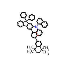 CC1(C)CCC(C)(C)c2cc(-c3ccc(-c4cc5c(cc4N(c4ccccc4)c4cccc6ccccc46)C(c4ccccc4)(c4ccccc4)c4ccccc4-5)cc3)ccc21